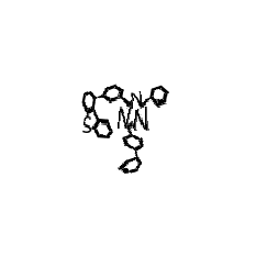 c1ccc(-c2ccc(-c3nc(-c4ccccc4)nc(-c4cccc(-c5cccc6sc7ccccc7c56)c4)n3)cc2)cc1